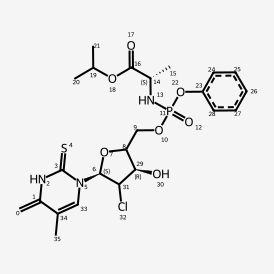 C=C1NC(=S)N([C@H]2OC(COP(=O)(N[C@@H](C)C(=O)OC(C)C)Oc3ccccc3)[C@@H](O)C2Cl)C=C1C